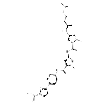 COC(=O)c1ccc(-c2ccc(NC(=O)c3cc(NC(=O)c4cc(NC(=O)CCCN(C)C)cn4C)cn3C)cc2)o1